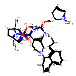 CN1CCC[C@H]1COc1nc2c(c(N3C[C@H]4CC[C@@H](C3)N4C(=O)OC(C)(C)C)n1)CCN(c1cccc3cccc(CCC#N)c13)C2